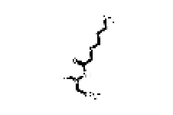 CN(CC(=O)O)NC(=O)CSCCCN